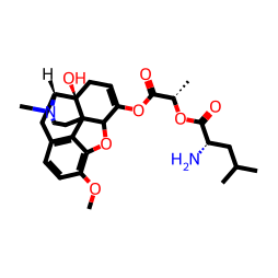 COc1ccc2c3c1OC1C(OC(=O)[C@H](C)OC(=O)[C@@H](N)CC(C)C)=CC[C@@]4(O)[C@@H](C2)N(C)CCC314